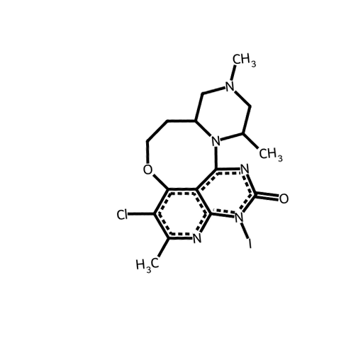 Cc1nc2c3c(nc(=O)n2I)N2C(C)CN(C)CC2CCOc3c1Cl